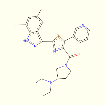 CCN(CC)C1CCN(C(=O)c2nc(-c3n[nH]c4c(C)cc(C)cc34)sc2-c2cccnc2)C1